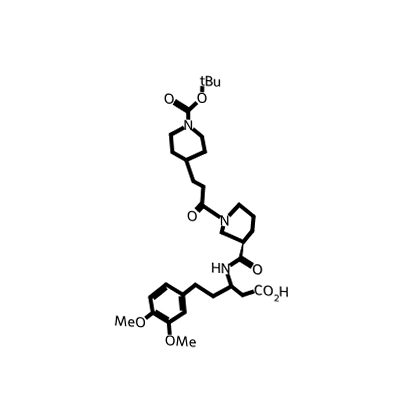 COc1ccc(CCC(CC(=O)O)NC(=O)[C@@H]2CCCN(C(=O)CCC3CCN(C(=O)OC(C)(C)C)CC3)C2)cc1OC